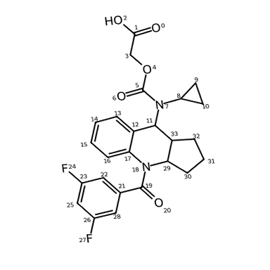 O=C(O)COC(=O)N(C1CC1)C1c2ccccc2N(C(=O)c2cc(F)cc(F)c2)C2CCCC21